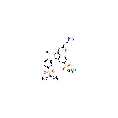 Cc1c(-c2cccc(S(=O)(=O)N(C)C)c2)c2cc(S(C)(=O)=O)ccc2n1C/C(F)=C/CN.Cl